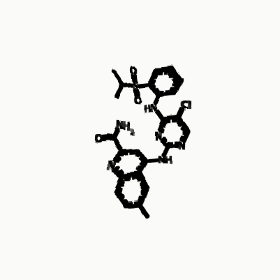 Cc1ccc2nc(C(N)=O)cc(Nc3ncc(Cl)c(Nc4ccccc4S(=O)(=O)C(C)C)n3)c2c1